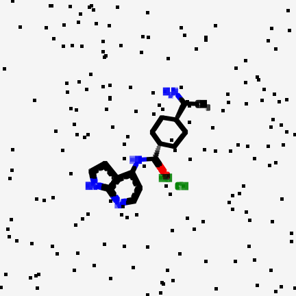 CC(N)[C@H]1CC[C@H](C(=O)Nc2ccnc3[nH]ccc23)CC1.Cl.Cl